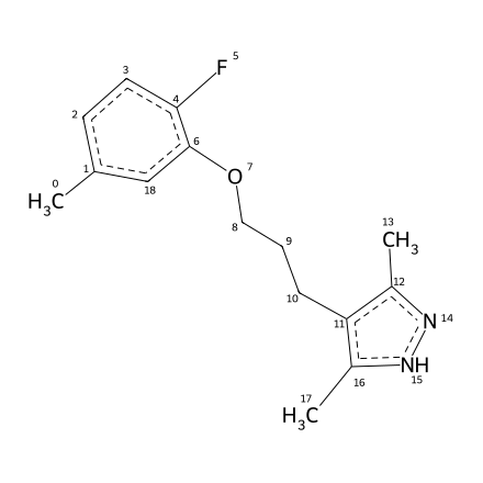 Cc1ccc(F)c(OCCCc2c(C)n[nH]c2C)c1